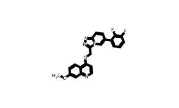 COc1ccc2c(OCc3nnc4ccc(-c5cccc(F)c5F)cn34)ccnc2c1